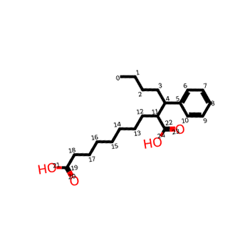 CCCCC(c1ccccc1)C(CCCCCCCC(=O)O)C(=O)O